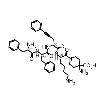 NCCCC[C@@H](NC(=O)[C@@H](CC#Cc1ccccc1)NC(=O)[C@@H](Cc1ccccc1)NC(=O)[C@H](N)Cc1ccccc1)C(=O)N1CCC(N)(C(=O)O)CC1